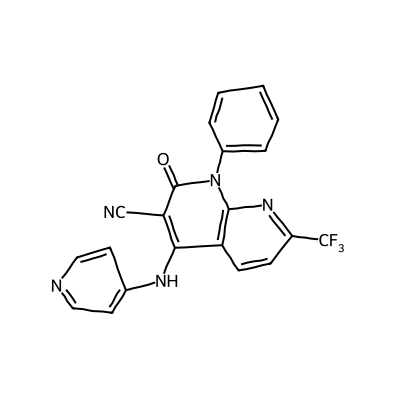 N#Cc1c(Nc2ccncc2)c2ccc(C(F)(F)F)nc2n(-c2ccccc2)c1=O